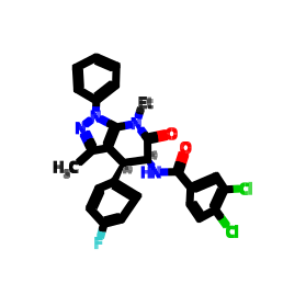 CCN1C(=O)[C@@H](NC(=O)c2ccc(Cl)c(Cl)c2)[C@@H](c2ccc(F)cc2)c2c(C)nn(-c3ccccc3)c21